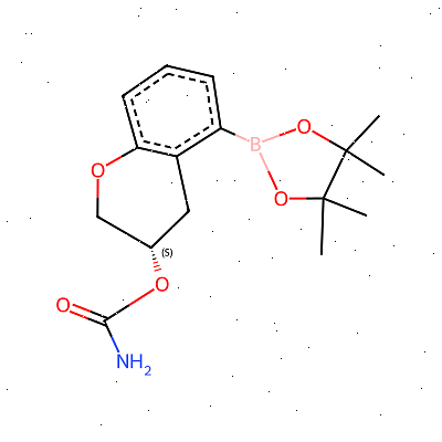 CC1(C)OB(c2cccc3c2C[C@H](OC(N)=O)CO3)OC1(C)C